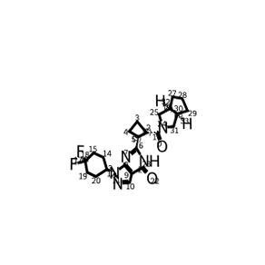 O=C([C@H]1CC[C@@H]1c1nc2c(cnn2C2CCC(F)(F)CC2)c(=O)[nH]1)N1C[C@H]2CCC[C@H]2C1